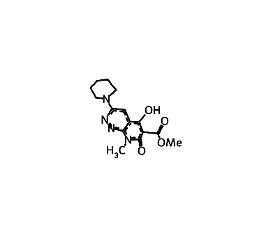 COC(=O)c1c(O)c2cc(N3CCCCC3)nnc2n(C)c1=O